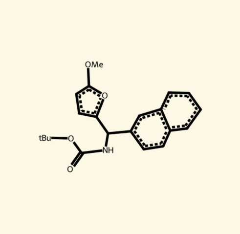 COc1ccc(C(NC(=O)OC(C)(C)C)c2ccc3ccccc3c2)o1